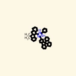 CC1(C)c2ccccc2-c2c1cc1ccccc1c2C1N=C(c2ccc3c(c2)C(c2ccccc2)(c2ccccc2)c2ccccc2-3)NC(c2ccccc2)N1